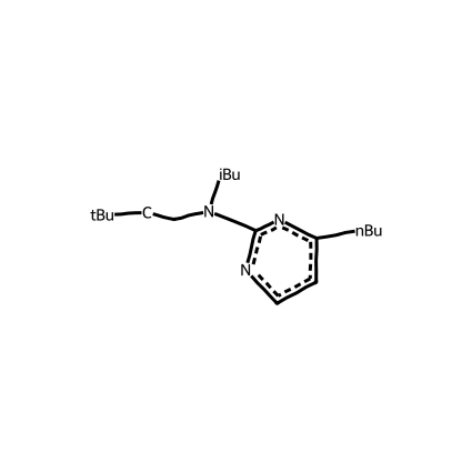 CCCCc1ccnc(N(CCC(C)(C)C)C(C)CC)n1